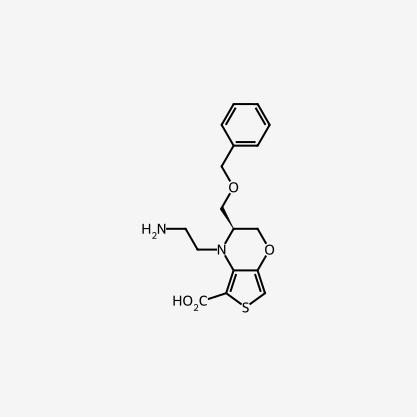 NCCN1c2c(csc2C(=O)O)OC[C@@H]1COCc1ccccc1